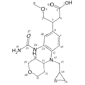 COCC(CC(=O)O)c1ccc(N(CC2CC2)C2CCOCC2)c(NC(N)=O)c1